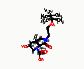 CC(C)(C)[Si](C)(C)OCCN1C[C@@H]2C[C@H](O)CN(C(=O)O)[C@@H]2C1=O